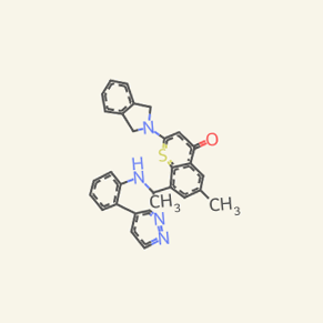 Cc1cc(C(C)Nc2ccccc2-c2ccnnc2)c2sc(N3Cc4ccccc4C3)cc(=O)c2c1